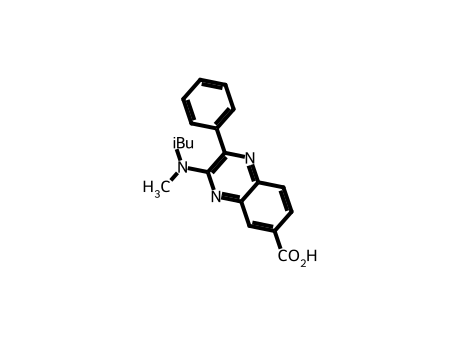 CCC(C)N(C)c1nc2cc(C(=O)O)ccc2nc1-c1ccccc1